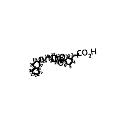 O=C(O)/C=C/c1cccc(S(=O)(=O)N2CCN(CCOc3ccc4ccccc4c3)CC2)c1